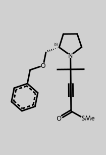 CSC(=O)C#CC(C)(C)N1CCC[C@H]1COCc1ccccc1